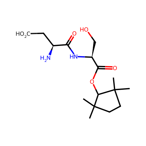 CC1(C)CCC(C)(C)C1OC(=O)[C@H](CO)NC(=O)[C@@H](N)CC(=O)O